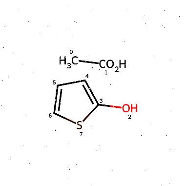 CC(=O)O.Oc1cccs1